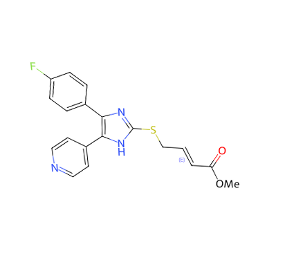 COC(=O)/C=C/CSc1nc(-c2ccc(F)cc2)c(-c2ccncc2)[nH]1